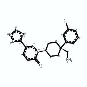 NC[C@]1(c2cccc(Cl)c2)CC[C@H](n2nc(-c3nnn[nH]3)ccc2=O)CC1